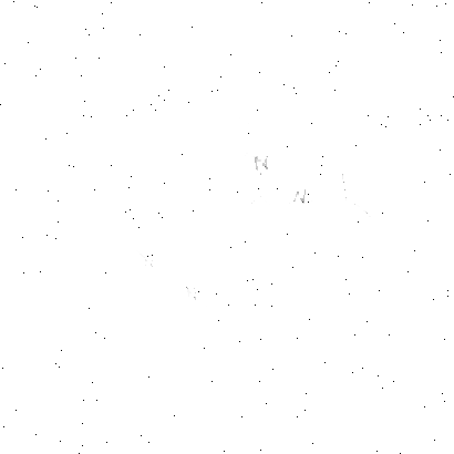 CC(C)C=Nc1ccc(-c2ccc(N=CC(C)C)c(N=CC(C)C)c2)cc1N=CC(C)C